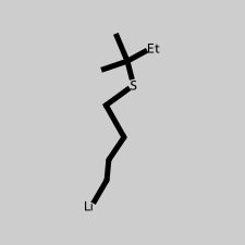 [Li][CH2]CCCSC(C)(C)CC